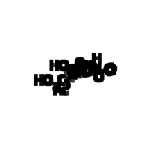 CC(=O)CC(C(=O)O)[C@@H]1C[C@H](n2ccc(NC(=O)c3ccccc3)nc2=O)O[C@H]1CO